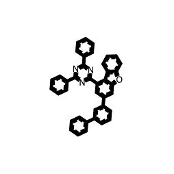 c1ccc(-c2cccc(-c3cc(-c4nc(-c5ccccc5)nc(-c5ccccc5)n4)c4c(c3)oc3ccccc34)c2)cc1